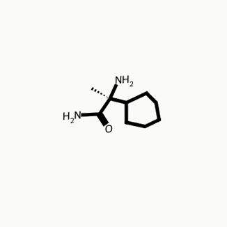 C[C@@](N)(C(N)=O)C1CCCCC1